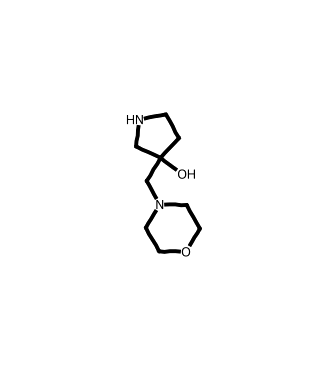 OC1(CN2CCOCC2)CCNC1